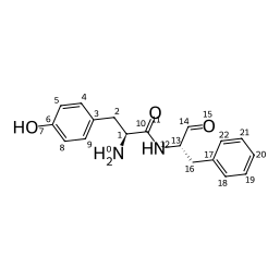 N[C@@H](Cc1ccc(O)cc1)C(=O)N[C@H](C=O)Cc1ccccc1